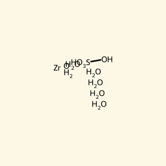 O.O.O.O.O.O.O=S(=O)(O)O.[Zr]